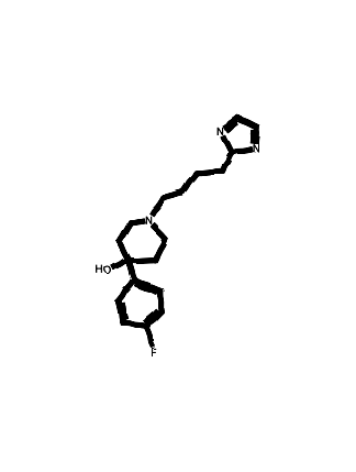 OC1(c2ccc(F)cc2)CCN(CCCCC2N=CC=N2)CC1